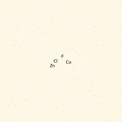 [Cl].[Cu].[F].[Zn]